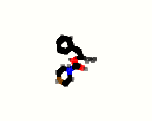 O=C(O)C(Cc1ccccc1)OC(=O)N1CCSCC1